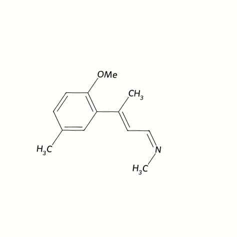 C/N=C\C=C(/C)c1cc(C)ccc1OC